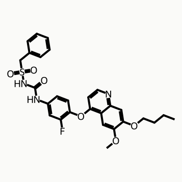 CCCCOc1cc2nccc(Oc3ccc(NC(=O)NS(=O)(=O)Cc4ccccc4)cc3F)c2cc1OC